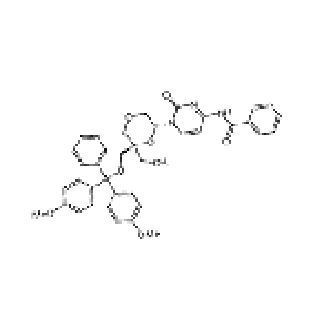 COc1ccc(C(OC[C@@]2(CO)COC[C@H](n3ccc(NC(=O)c4ccccc4)nc3=O)O2)(c2ccccc2)c2ccc(OC)cc2)cc1